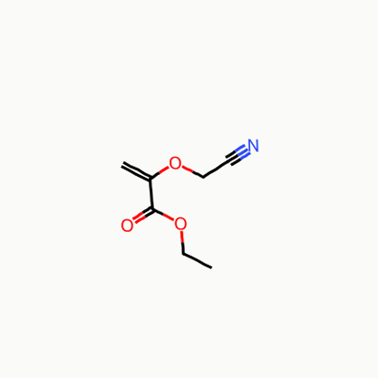 C=C(OCC#N)C(=O)OCC